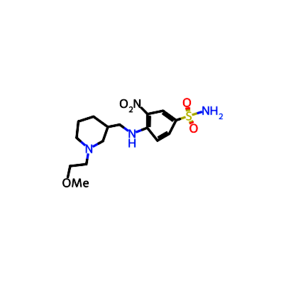 COCCN1CCCC(CNc2ccc(S(N)(=O)=O)cc2[N+](=O)[O-])C1